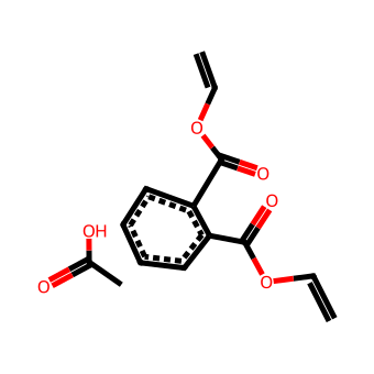 C=COC(=O)c1ccccc1C(=O)OC=C.CC(=O)O